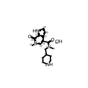 CN(CC1CCNCC1)C(=O)c1cn(C)c(=O)c2[nH]ccc12.Cl